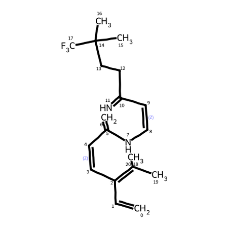 C=CC(/C=C\C(=C)N/C=C\C(=N)CCC(C)(C)C(F)(F)F)=C(C)C